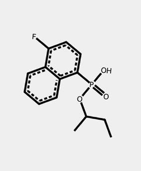 CCC(C)OP(=O)(O)c1ccc(F)c2ccccc12